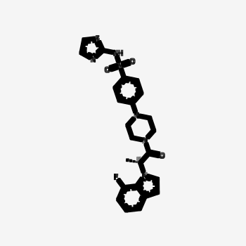 C[C@H](C(=O)N1CCN(c2ccc(S(=O)(=O)Nc3nccs3)cc2)CC1)n1ccc2cccc(F)c21